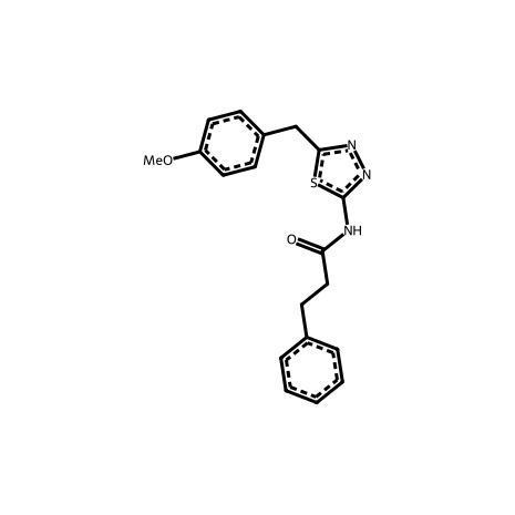 COc1ccc(Cc2nnc(NC(=O)CCc3ccccc3)s2)cc1